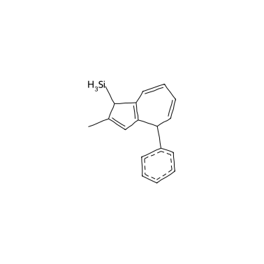 CC1=CC2=C(C=CC=CC2c2ccccc2)C1[SiH3]